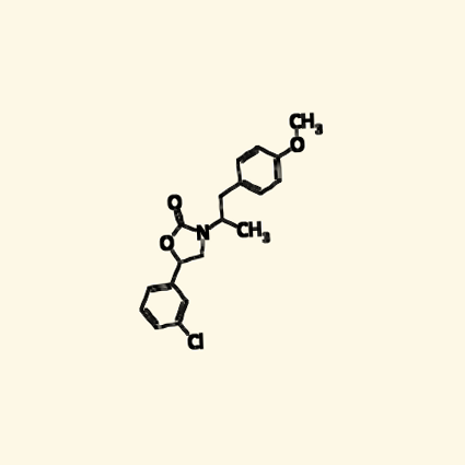 COc1ccc(CC(C)N2CC(c3cccc(Cl)c3)OC2=O)cc1